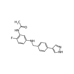 CC(=O)Nc1cc(NCc2ccc(-c3cn[nH]c3)cc2)ccc1F